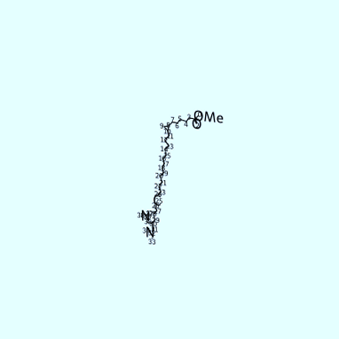 COC(=O)CCCCCC1CC1CCCCCCCCCCCCCCCCCCCC(CN(C)C)CN(C)C